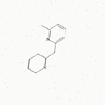 Cc1cccc(CC2CCCC[N]2)n1